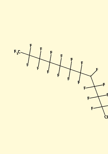 F[C](C(F)(F)C(F)(F)C(F)(F)C(F)(F)F)C(F)(F)C(F)(F)C(F)(F)C(F)(F)C(F)(F)C(F)(F)C(F)(F)F